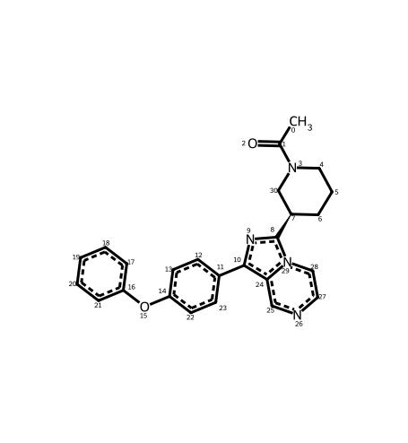 CC(=O)N1CCC[C@@H](c2nc(-c3ccc(Oc4ccccc4)cc3)c3cnccn23)C1